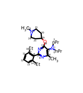 CCCN(CCC)c1c(C)nc(-c2c(CC)cccc2CC)nc1OC1CCN(C)CC1